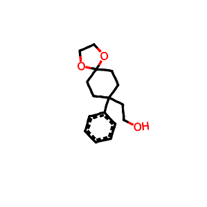 OCCC1(c2ccccc2)CCC2(CC1)OCCO2